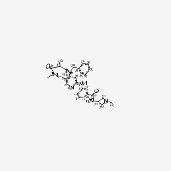 CC1C(=O)N(C)c2cnc(Nc3cccc(C(=O)NC4CN(C)C4)c3)cc2N1Cc1ccccc1